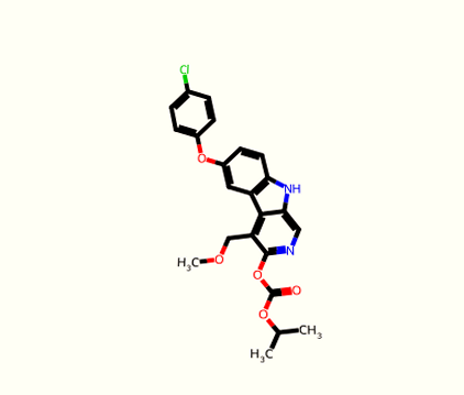 COCc1c(OC(=O)OC(C)C)ncc2[nH]c3ccc(Oc4ccc(Cl)cc4)cc3c12